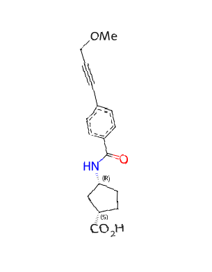 COCC#Cc1ccc(C(=O)N[C@@H]2CC[C@H](C(=O)O)C2)cc1